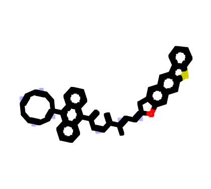 C=C(/C=C\C(=C)c1c2ccccc2c(/C2=C/C=C\C/C=C\C=C/C2)c2ccccc12)/C(C)=C/C=C1\Cc2cc3cc4c(cc3cc2O1)sc1ccccc14